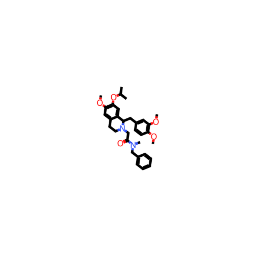 COc1ccc(CC2c3cc(OC(C)C)c(OC)cc3CCN2CC(=O)N(C)Cc2ccccc2)cc1OC